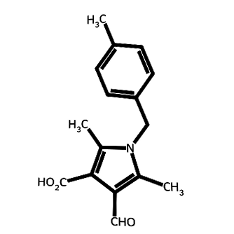 Cc1ccc(Cn2c(C)c(C=O)c(C(=O)O)c2C)cc1